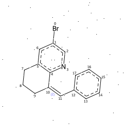 Brc1cnc2c(c1)CCC/C2=C/c1ccccc1